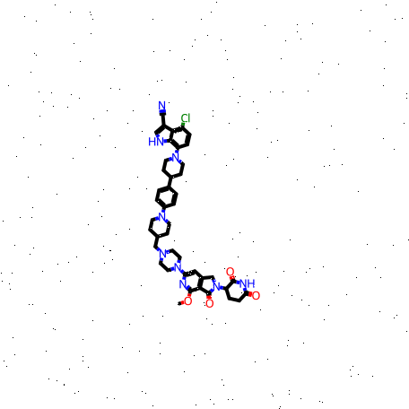 COc1nc(N2CCN(CC3CCN(c4ccc(C5CCN(c6ccc(Cl)c7c(C#N)c[nH]c67)CC5)cc4)CC3)CC2)cc2c1C(=O)N(C1CCC(=O)NC1=O)C2